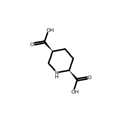 O=C(O)[C@H]1CC[C@@H](C(=O)O)NC1